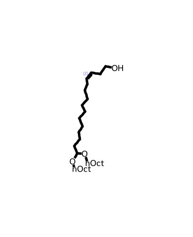 CCCCCCCCOC(CCCCCCCCCC/C=C\CCO)OCCCCCCCC